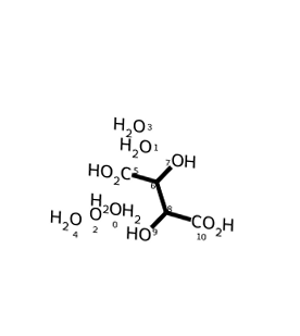 O.O.O.O.O.O=C(O)C(O)C(O)C(=O)O